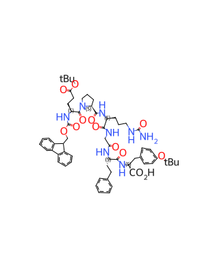 CC(C)(C)OC(=O)CC[C@H](NC(=O)OCC1c2ccccc2-c2ccccc21)C(=O)N1CCC[C@H]1C(=O)N[C@@H](CCCNC(N)=O)C(=O)NCC(=O)N[C@@H](CCc1ccccc1)C(=O)N[C@@H](Cc1ccc(OC(C)(C)C)cc1)C(=O)O